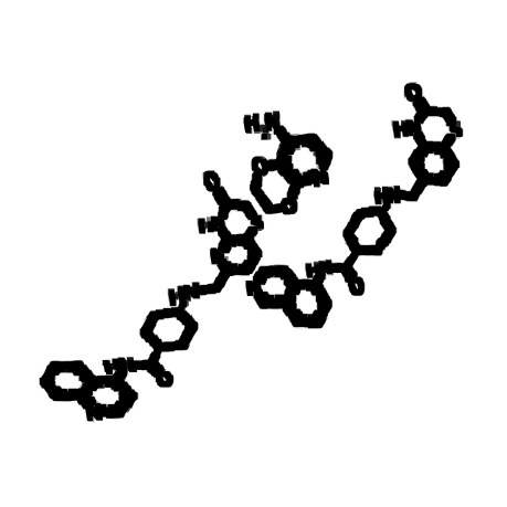 Nc1ccnc2c1OCCO2.O=C1CSc2ccc(CN[C@H]3CC[C@H](C(=O)Nc4cccc5cnccc45)CC3)cc2N1.O=C1CSc2ccc(CN[C@H]3CC[C@H](C(=O)Nc4ccnc5ccccc45)CC3)nc2N1